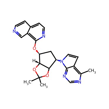 Cc1ncnc2c1ccn2[C@@H]1C[C@H](Oc2nccc3ccncc23)[C@H]2OC(C)(C)OC12